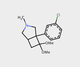 COC1(OC)CC2CN(C)CC21c1cccc(Cl)c1